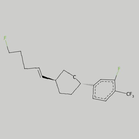 FCCCC=C[C@H]1CC[C@H](c2ccc(C(F)(F)F)c(F)c2)CC1